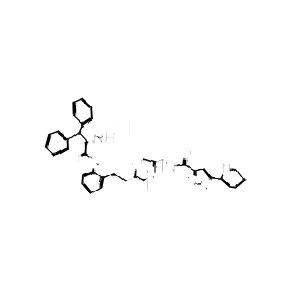 O=C(O)N[C@H](C(=O)Nc1ccccc1CC[C@@H]1CN[C@H](CNC(=O)c2cc(-c3ccccn3)[nH]n2)CO1)C(c1ccccc1)c1ccccc1